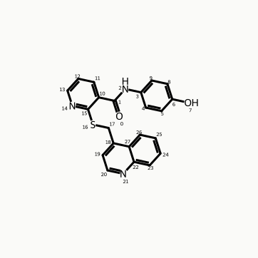 O=C(Nc1ccc(O)cc1)c1cccnc1SCc1ccnc2ccccc12